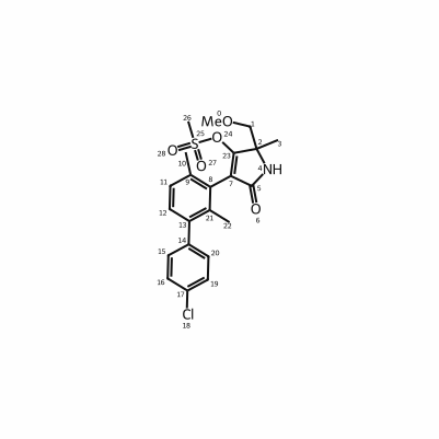 COCC1(C)NC(=O)C(c2c(C)ccc(-c3ccc(Cl)cc3)c2C)=C1OS(C)(=O)=O